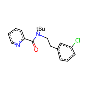 CC(C)(C)N(CCc1cccc(Cl)c1)C(=O)c1ccccn1